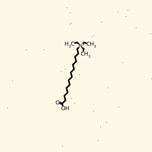 CC[N+](CC)(CC)CCCCCCCCCCCCCCC(=O)O